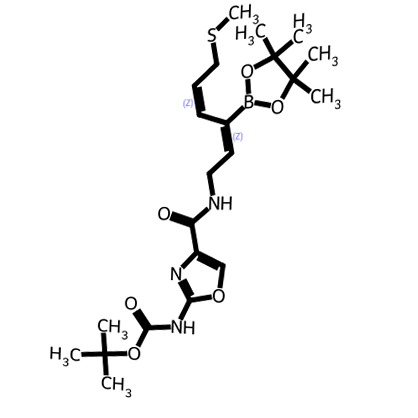 CSC/C=C\C(=C/CNC(=O)c1coc(NC(=O)OC(C)(C)C)n1)B1OC(C)(C)C(C)(C)O1